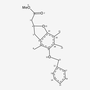 COC(=O)CC1Cc2c(C)c(OCc3ccccc3)c(C)c(C)c2O1